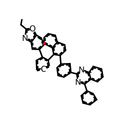 CCc1nc2cc(-c3ccccc3-c3c(-c4cccc(-c5nc(-c6ccccc6)c6ccccc6n5)c4)ccc4ccccc34)ccc2o1